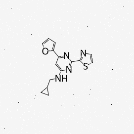 c1coc(-c2cc(NCC3CC3)nc(-c3nccs3)n2)c1